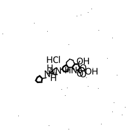 CN(Cc1ccccc1)[C@H]1[C@@H]2CN(c3ccc4c(c3)CCCc3c-4[nH]c(=O)c(OC(=O)O)c3O)C[C@@H]21.Cl